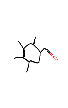 CC1=C(C)C(C)C(C=O)CC1C